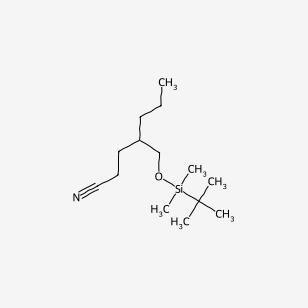 CCCC(CCC#N)CO[Si](C)(C)C(C)(C)C